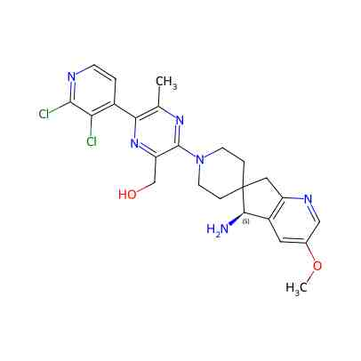 COc1cnc2c(c1)[C@@H](N)C1(CCN(c3nc(C)c(-c4ccnc(Cl)c4Cl)nc3CO)CC1)C2